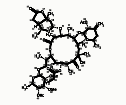 C=C1C[C@@H](C)O[C@@H](O[C@@H]2[C@@H](C)[C@H](O[C@H]3C[C@@]4(C)OC(=O)C[C@H]4[C@H](C)O3)[C@@H](C)C(=O)O[C@H]([C@@H](C)CO[C@@H]3O[C@H](C)[C@@H](OC(C)=O)[C@@H](OC)[C@H]3OC)[C@H](C)[C@@H](OC(=O)CC(C)C)[C@@H](C)C(=O)[C@@](C)(O)C[C@@H]2C)[C@@H]1OC(C)=O